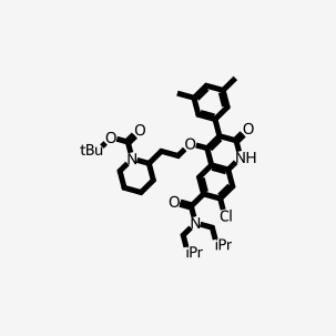 Cc1cc(C)cc(-c2c(OCCC3CCCCN3C(=O)OC(C)(C)C)c3cc(C(=O)N(CC(C)C)CC(C)C)c(Cl)cc3[nH]c2=O)c1